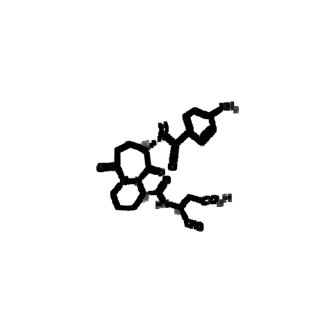 Nc1ccc(C(=O)N[C@H]2CCC(=O)N3CCC[C@@H](C(=O)N[C@H](C=O)CC(=O)O)N3C2=O)cc1